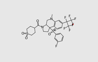 CN1CC2N(C(=O)C3CCS(=O)(=O)CC3)CCC2(S(=O)(=O)c2cccc(F)c2)c2ccc(C(F)(C(F)(F)F)C(F)(F)F)cc21